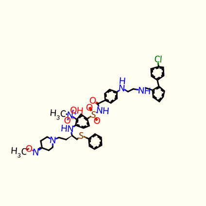 CON=C1CCN(CC[C@H](CSc2ccccc2)Nc2ccc(S(=O)(=O)NC(=O)c3ccc(NCCNCc4ccccc4-c4ccc(Cl)cc4)cc3)cc2[N+](C)([O-])O)CC1